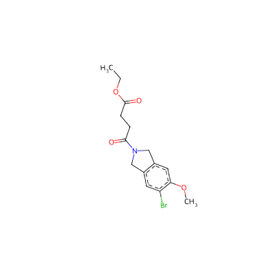 CCOC(=O)CCC(=O)N1Cc2cc(Br)c(OC)cc2C1